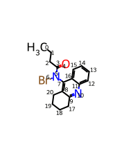 CCCC(=O)N(Br)c1c2c(nc3ccccc13)CCCC2